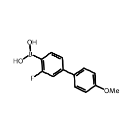 COc1ccc(-c2ccc(B(O)O)c(F)c2)cc1